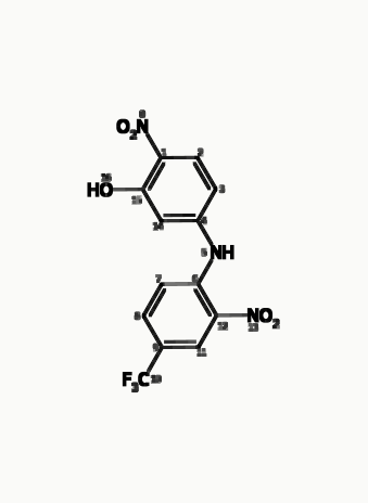 O=[N+]([O-])c1ccc(Nc2ccc(C(F)(F)F)cc2[N+](=O)[O-])cc1O